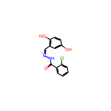 O=C(N/N=C\c1cc(O)ccc1O)c1ccccc1Cl